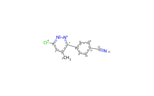 Cc1cc(Cl)nnc1-c1ccc(C#N)cc1